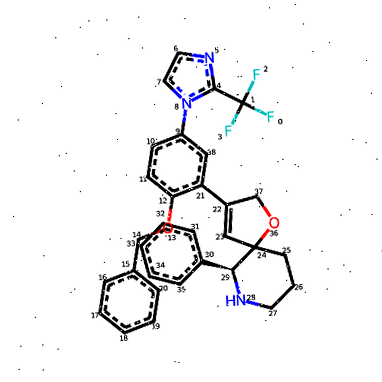 FC(F)(F)c1nccn1-c1ccc(OCc2ccccc2)c(C2=CC3(CCCN[C@H]3c3ccccc3)OC2)c1